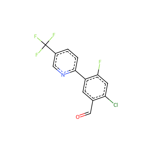 O=Cc1cc(-c2ccc(C(F)(F)F)cn2)c(F)cc1Cl